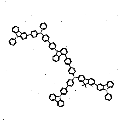 CC1(C)c2cc(-c3ccc4c(c3)c3ccccc3n4-c3ccccc3)ccc2-c2ccc(N(c3ccc(-c4ccc(-c5cccc6c5c5ccccc5n6-c5ccc(-c6ccc(N(c7ccccc7)c7ccc(-c8ccc9c(c8)c8ccccc8n9-c8ccccc8)cc7)cc6)cc5)cc4)cc3)c3ccc(-c4ccc(-n5c6ccccc6c6ccccc65)cc4)cc3)cc21